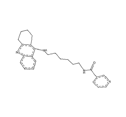 O=C(NCCCCCCNc1c2c(nc3ccccc13)CCCC2)c1cccnc1